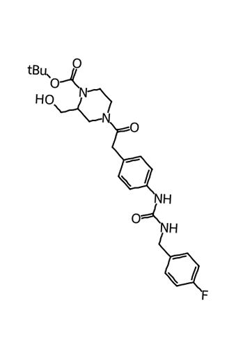 CC(C)(C)OC(=O)N1CCN(C(=O)Cc2ccc(NC(=O)NCc3ccc(F)cc3)cc2)CC1CO